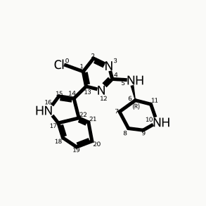 Clc1cnc(N[C@@H]2CCCNC2)nc1-c1c[nH]c2ccccc12